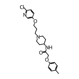 Cc1ccc(OCC(=O)NC2CCN(CCCOc3ccc(Cl)nc3)CC2)cc1